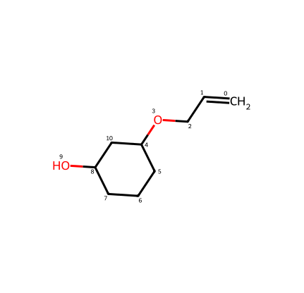 C=CCOC1CCCC(O)C1